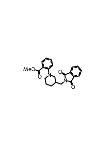 COC(=O)c1ccccc1N1CCCC(CN2C(=O)c3ccccc3C2=O)C1